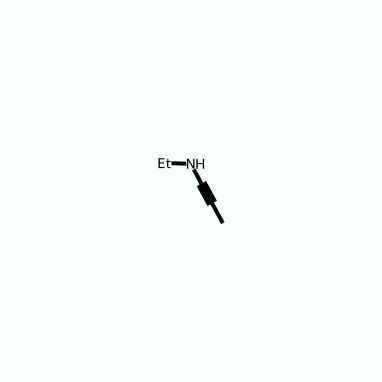 CC#CNCC